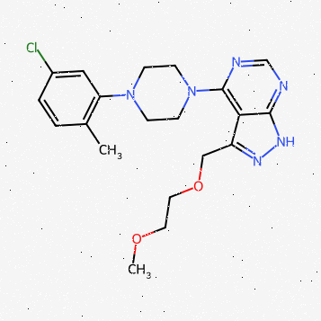 COCCOCc1n[nH]c2ncnc(N3CCN(c4cc(Cl)ccc4C)CC3)c12